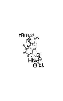 CCS(=O)(=O)NC(=O)c1ccc(C)c(-c2cccc(C(C)(C)C)n2)c1